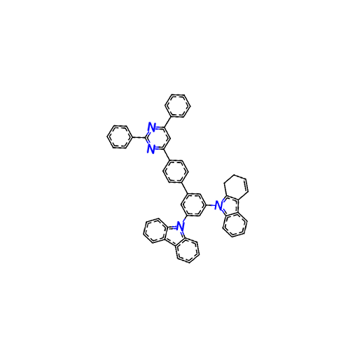 C1=Cc2c(n(-c3cc(-c4ccc(-c5cc(-c6ccccc6)nc(-c6ccccc6)n5)cc4)cc(-n4c5ccccc5c5ccccc54)c3)c3ccccc23)CC1